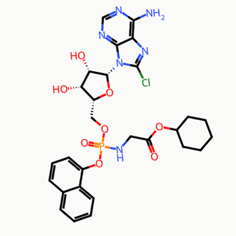 Nc1ncnc2c1nc(Cl)n2[C@@H]1O[C@H](COP(=O)(NCC(=O)OC2CCCCC2)Oc2cccc3ccccc23)[C@H](O)[C@@H]1O